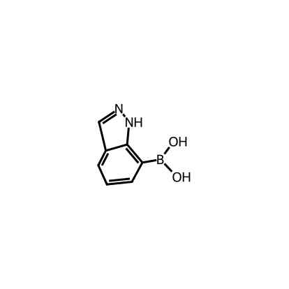 OB(O)c1cccc2cn[nH]c12